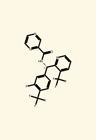 O=C(N[C@@H](c1ccc(C(F)(F)F)c(F)c1)c1ncccc1C(F)(F)F)c1cnccn1